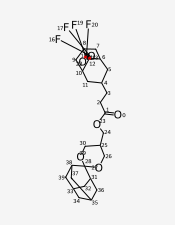 O=C(CCC1CC2CCCC(C1)C21OCC(F)(F)C(F)(F)CO1)OCC1COC2(OC1)C1CC3CC(C1)CC2C3